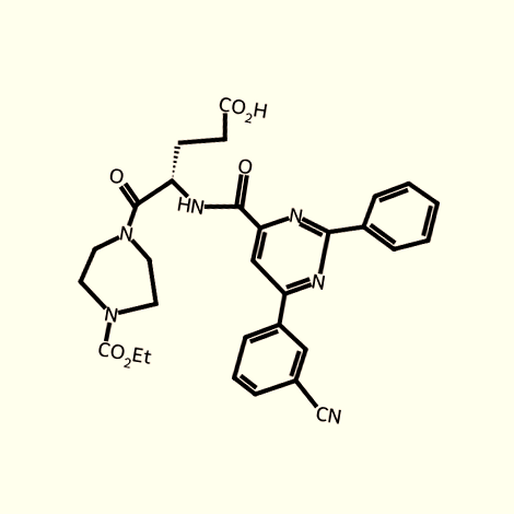 CCOC(=O)N1CCN(C(=O)[C@H](CCC(=O)O)NC(=O)c2cc(-c3cccc(C#N)c3)nc(-c3ccccc3)n2)CC1